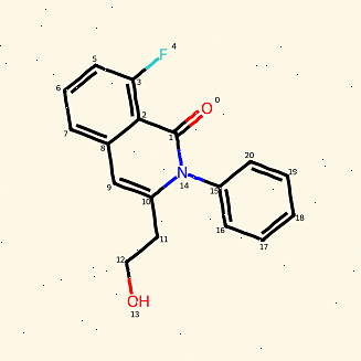 O=c1c2c(F)cccc2cc(CCO)n1-c1ccccc1